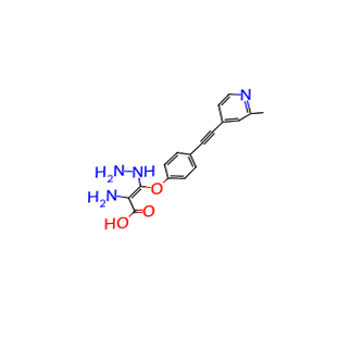 Cc1cc(C#Cc2ccc(O/C(NN)=C(/N)C(=O)O)cc2)ccn1